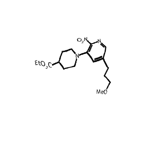 CCOC(=O)C1CCN(c2cc(CCCOC)cnc2[N+](=O)[O-])CC1